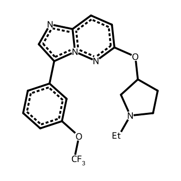 CCN1CCC(Oc2ccc3ncc(-c4cccc(OC(F)(F)F)c4)n3n2)C1